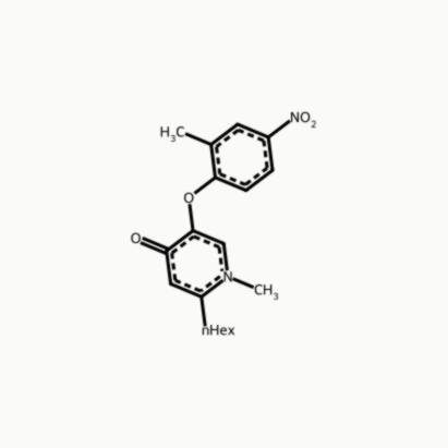 CCCCCCc1cc(=O)c(Oc2ccc([N+](=O)[O-])cc2C)cn1C